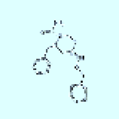 NC(=O)[C@@H]1CC[C@@H](NOCc2ccccc2)CN1Cc1ccccc1